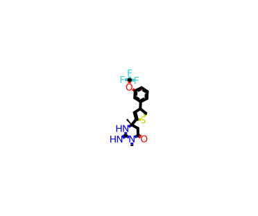 CN1C(=N)N[C@](C)(C2=CC(c3cccc(OC(F)(F)F)c3)CS2)CC1=O